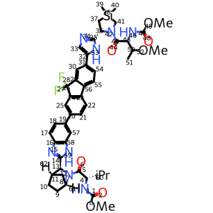 COC(=O)N[C@H](C(=O)N1[C@@H]2CC[C@@H](C2)[C@H]1c1nc2ccc(-c3ccc4c(c3)C(F)(F)c3cc(-c5cnc([C@@H]6C[Si](C)(C)CN6C(=O)[C@@H](NC(=O)OC)C(C)OC)[nH]5)ccc3-4)cc2[nH]1)C(C)C